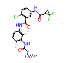 COCC(=O)Nc1c(F)ccc(NC(=O)c2cc(NC(=O)C3CC3(Cl)Cl)ccc2Cl)c1F